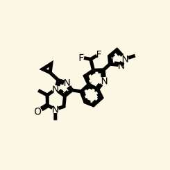 CC1C(=O)N(C)Cc2c(-c3cccc4nc(-c5ccn(C)n5)c(C(F)F)cc34)nc(C3CC3)n21